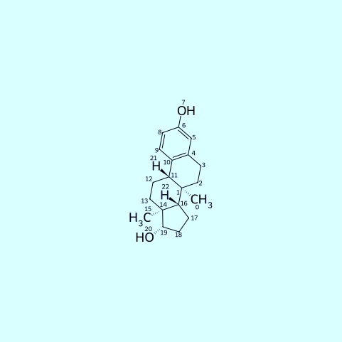 C[C@@]12CCc3cc(O)ccc3[C@H]1CC[C@@]1(C)[C@H]2CC[C@@H]1O